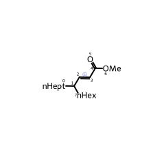 CCCCCCCC(/C=C/C(=O)OC)CCCCCC